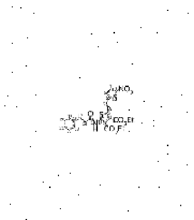 CCOC(=O)c1c(N=Cc2ccc([N+](=O)[O-])s2)sc(NC(=O)C=Cc2ccccc2)c1C(=O)OCC